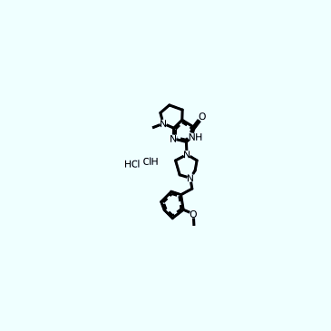 COc1ccccc1CN1CCN(c2nc3c(c(=O)[nH]2)CCCN3C)CC1.Cl.Cl